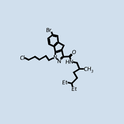 CCC(CC)CCC(C)CNC(=O)c1nn(CCCCCCl)c2c1Cc1cc(Br)ccc1-2